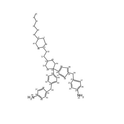 CCCCCCC1CCC(CCC2CCC(c3ccc(Cc4ccc(N)cc4)cc3)(c3ccc(Cc4ccc(N)cc4)cc3)CC2)CC1